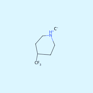 [CH2-][NH+]1CCC(C(F)(F)F)CC1